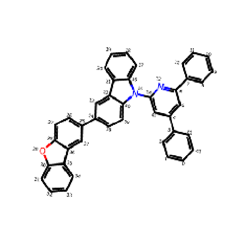 c1ccc(-c2cc(-c3ccccc3)nc(-n3c4ccccc4c4cc(-c5ccc6oc7ccccc7c6c5)ccc43)c2)cc1